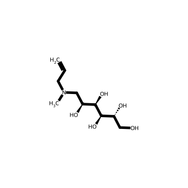 C=CCN(C)C[C@H](O)[C@@H](O)[C@H](O)[C@H](O)CO